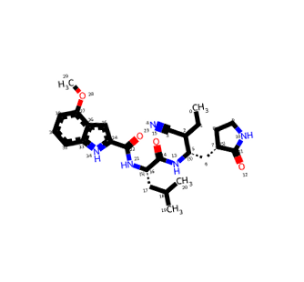 CCC(C#N)[C@H](C[C@@H]1CCNC1=O)NC(=O)[C@H](CC(C)C)NC(=O)c1cc2c(OC)cccc2[nH]1